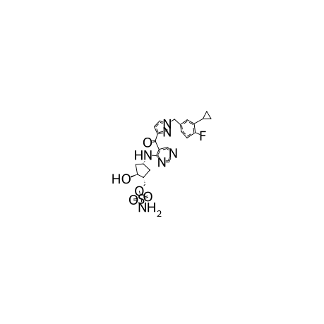 NS(=O)(=O)OC[C@H]1C[C@@H](Nc2ncncc2C(=O)c2ccn(Cc3ccc(F)c(C4CC4)c3)n2)C[C@@H]1O